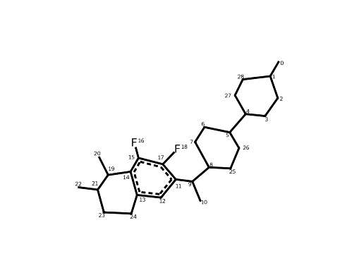 CC1CCC(C2CCC(C(C)c3cc4c(c(F)c3F)C(C)C(C)CC4)CC2)CC1